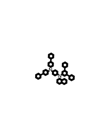 c1ccc(-c2ccc(N(c3ccc(-c4ccccc4)cc3)c3ccc(N(c4cc(-c5ccccc5)cc(-c5ccccc5)c4)c4cccc5ccccc45)cc3)cc2)cc1